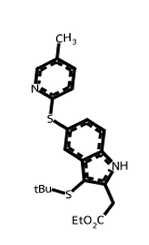 CCOC(=O)Cc1[nH]c2ccc(Sc3ccc(C)cn3)cc2c1SC(C)(C)C